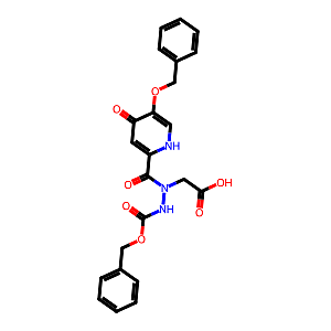 O=C(O)CN(NC(=O)OCc1ccccc1)C(=O)c1cc(=O)c(OCc2ccccc2)c[nH]1